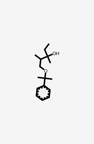 CCC(C)(O)C(C)COC(C)(C)c1ccccc1